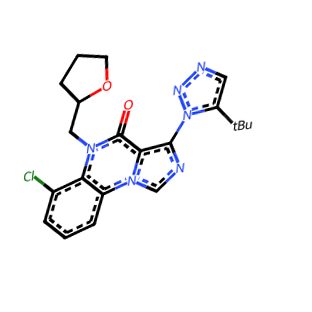 CC(C)(C)c1cnnn1-c1ncn2c1c(=O)n(CC1CCCO1)c1c(Cl)cccc12